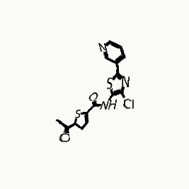 CC(=O)C1CC=C(C(=O)Nc2sc(-c3cccnc3)nc2Cl)S1